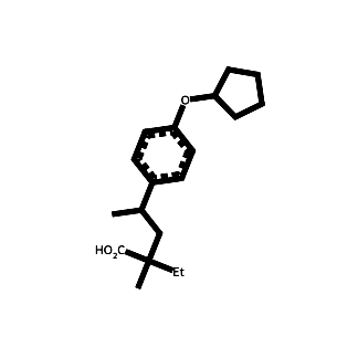 CCC(C)(CC(C)c1ccc(OC2CCCC2)cc1)C(=O)O